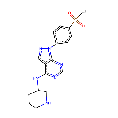 CS(=O)(=O)c1ccc(-n2ncc3c(NC4CCCNC4)ncnc32)cc1